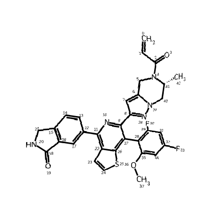 C=CC(=O)N1Cc2cc(-c3nc(-c4ccc5c(c4)C(=O)NC5)c4ccsc4c3-c3c(F)cc(F)cc3OC)nn2C[C@H]1C